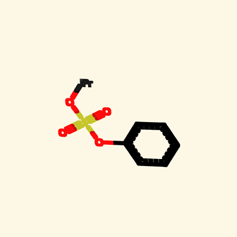 CC(C)OS(=O)(=O)Oc1ccccc1